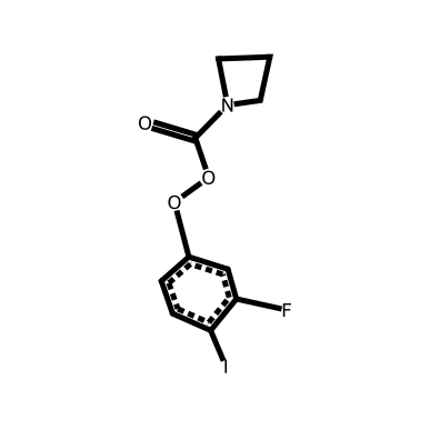 O=C(OOc1ccc(I)c(F)c1)N1CCC1